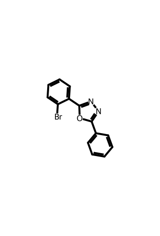 Brc1ccccc1-c1nnc(-c2ccccc2)o1